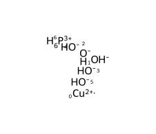 [Cu+2].[OH-].[OH-].[OH-].[OH-].[OH-].[PH6+3]